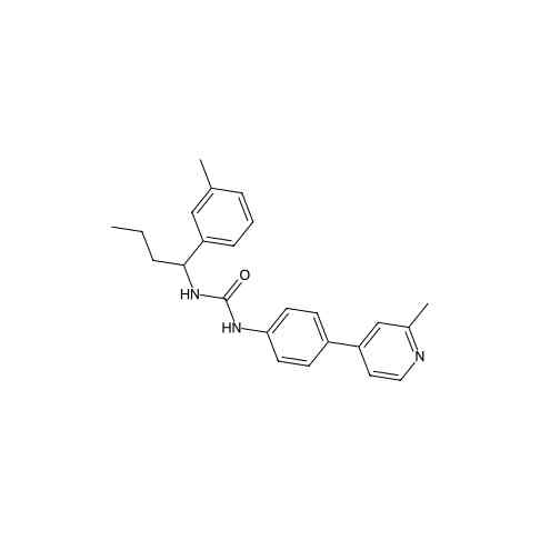 CCCC(NC(=O)Nc1ccc(-c2ccnc(C)c2)cc1)c1cccc(C)c1